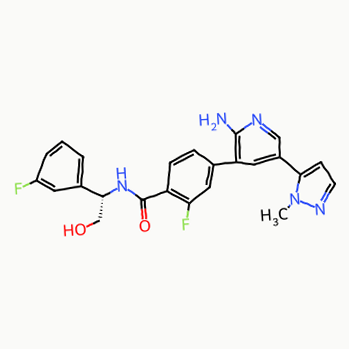 Cn1nccc1-c1cnc(N)c(-c2ccc(C(=O)N[C@H](CO)c3cccc(F)c3)c(F)c2)c1